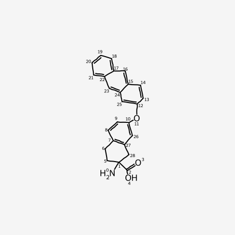 NC1(C(=O)O)CCc2ccc(Oc3ccc4cc5ccccc5cc4c3)cc2C1